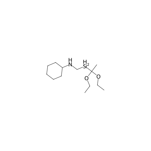 CCOC(C)(OCC)[SiH2]CNC1CCCCC1